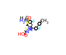 Cc1ccc(-c2cc(-c3nn(-c4nc(C(=O)O)cs4)c(C4CC4)c3Cc3ccc([SH](C)(N)=O)cc3F)ccc2F)cc1